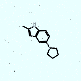 Cc1cc2cc(N3CCCC3)ccc2[nH]1